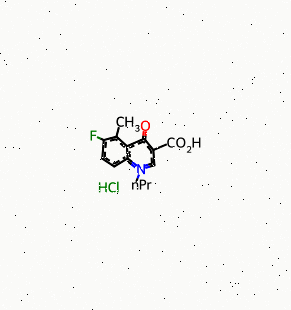 CCCn1cc(C(=O)O)c(=O)c2c(C)c(F)ccc21.Cl